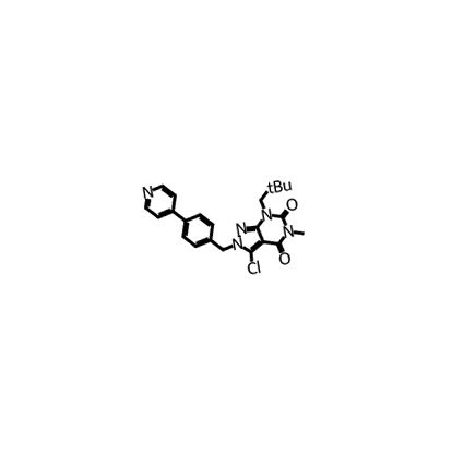 Cn1c(=O)c2c(Cl)n(Cc3ccc(-c4ccncc4)cc3)nc2n(CC(C)(C)C)c1=O